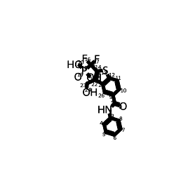 O=C(Nc1ccccc1)c1ccc2sc(C(F)(F)P(=O)(O)O)c(CO)c2c1